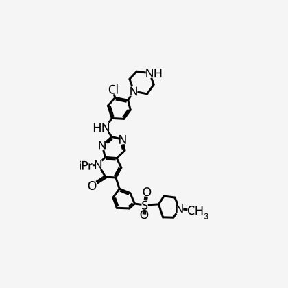 CC(C)n1c(=O)c(-c2cccc(S(=O)(=O)C3CCN(C)CC3)c2)cc2cnc(Nc3ccc(N4CCNCC4)c(Cl)c3)nc21